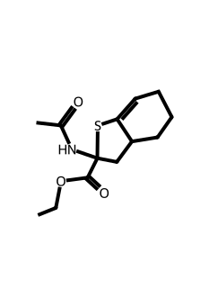 CCOC(=O)C1(NC(C)=O)CC2CCCC=C2S1